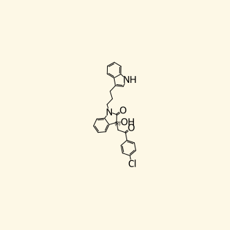 O=C(C[C@]1(O)C(=O)N(CCCc2c[nH]c3ccccc23)c2ccccc21)c1ccc(Cl)cc1